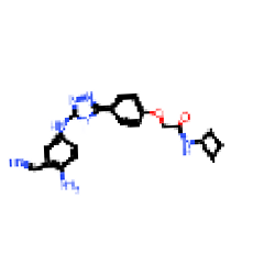 N=Cc1cc(Nc2nnc(-c3ccc(OCC(=O)NC4CCC4)cc3)[nH]2)ccc1N